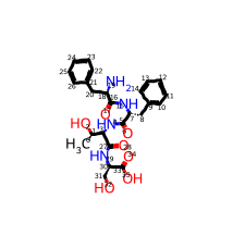 C[C@H](O)[C@@H](NC(=O)[C@@H](Cc1ccccc1)NC(=O)[C@H](N)Cc1ccccc1)C(=O)N[C@H](CO)C(=O)O